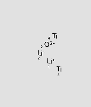 [Li+].[Li+].[O-2].[Ti].[Ti]